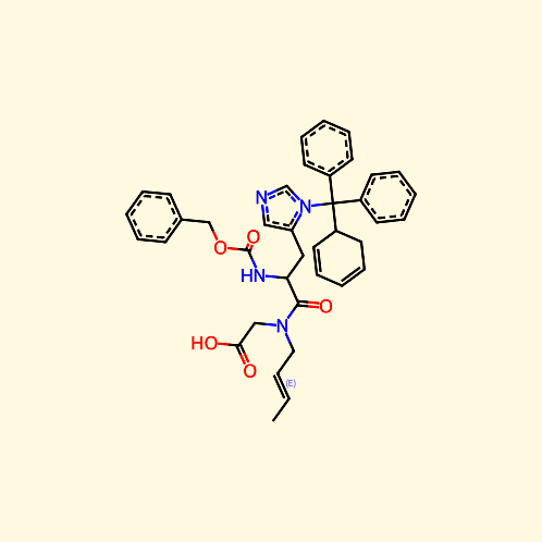 C/C=C/CN(CC(=O)O)C(=O)C(Cc1cncn1C(c1ccccc1)(c1ccccc1)C1C=CC=CC1)NC(=O)OCc1ccccc1